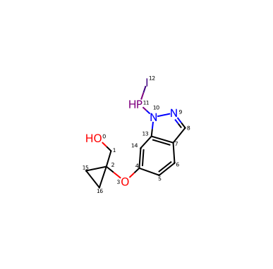 OCC1(Oc2ccc3cnn(PI)c3c2)CC1